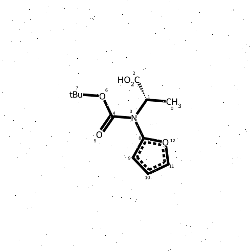 C[C@@H](C(=O)O)N(C(=O)OC(C)(C)C)c1ccco1